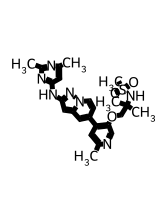 Cc1cc(-c2ccn3nc(Nc4cc(C)nc(C)n4)cc3c2)c(OCC(C)(C)NS(C)(=O)=O)cn1